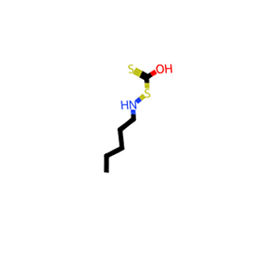 CCCCCNSC(O)=S